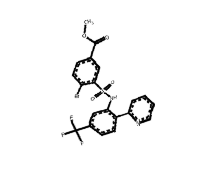 COC(=O)c1ccc(Br)c(S(=O)(=O)Nc2cc(C(F)(F)F)ccc2-c2ccccn2)c1